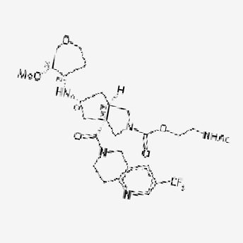 CO[C@@H]1COCC[C@@H]1N[C@@H]1C[C@H]2CN(C(=O)OCCNC(C)=O)C[C@@]2(C(=O)N2CCc3ncc(C(F)(F)F)cc3C2)C1